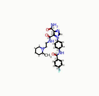 CC1CCCCN1CCNC(=O)c1c(C(N)=O)ncn1-c1ccc(NC(=O)c2ccc(F)cc2)cc1